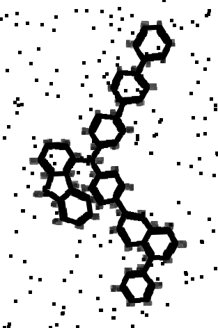 c1ccc(-c2ccc(-c3ccc(N(c4ccc(-c5ccc6c(-c7ccccc7)cccc6c5)cc4)c4cccc5sc6ccccc6c45)cc3)cc2)cc1